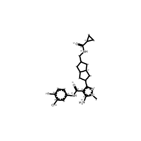 Cn1nc(C2CC3CC(CNC(=O)C4CC4)CC3C2)c(C(=O)Nc2ccc(F)c(Cl)c2)c1N